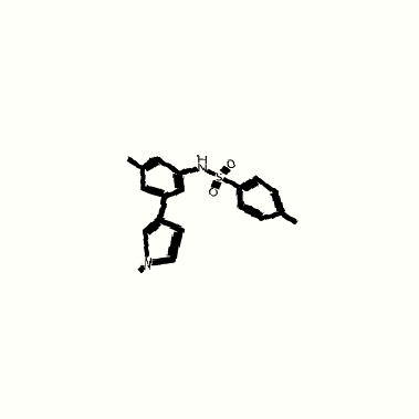 Cc1ccc(S(=O)(=O)Nc2cc(C)cc(-c3ccn(C)c3)c2)cc1